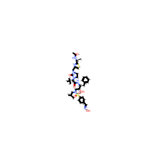 CC(=O)N[C@@H](C)c1nc(CN2CCN([C@H](C(=O)N[C@@H](Cc3ccccc3)[C@H](O)CN(CC(C)C)S(=O)(=O)c3ccc(/C=N/O)cc3)C(C)(C)C)C2=O)cs1